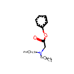 CCCCCCCCN(CCCCCCCC)CC(=O)Oc1ccccc1